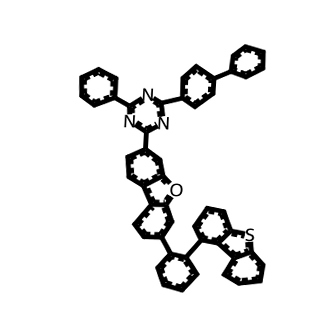 c1ccc(-c2ccc(-c3nc(-c4ccccc4)nc(-c4ccc5c(c4)oc4cc(-c6ccccc6-c6cccc7sc8ccccc8c67)ccc45)n3)cc2)cc1